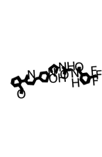 O=Cc1ccccc1-c1ccc(C2CCC(O)(N3CC[C@@H](NC(=O)CNC(=O)c4cccc(C(F)(F)F)c4)C3)CC2)nc1